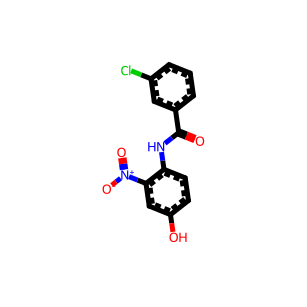 O=C(Nc1ccc(O)cc1[N+](=O)[O-])c1cccc(Cl)c1